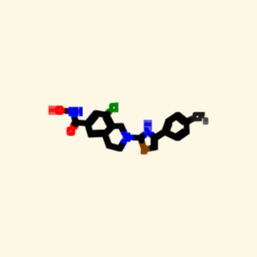 O=C(NO)c1cc(Cl)c2c(c1)CCN(C1NC(c3ccc(C(F)(F)F)cc3)=CS1)C2